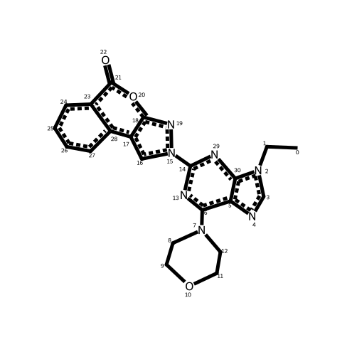 CCn1cnc2c(N3CCOCC3)nc(-n3cc4c(n3)oc(=O)c3ccccc34)nc21